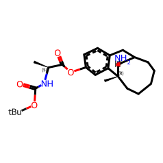 C[C@H](NC(=O)OC(C)(C)C)C(=O)Oc1ccc2c(c1)[C@@]1(C)CCCCCC(C2)[C@@H]1N